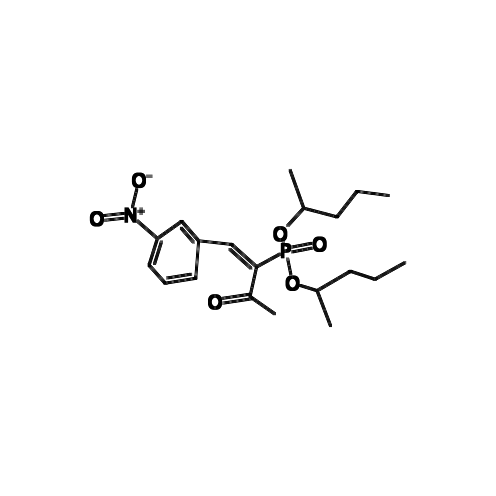 CCCC(C)OP(=O)(OC(C)CCC)/C(=C/c1cccc([N+](=O)[O-])c1)C(C)=O